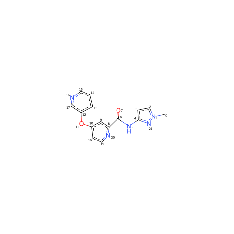 Cn1ccc(NC(=O)c2cc(Oc3cccnc3)ccn2)n1